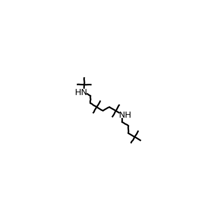 CC(C)(C)CCCNC(C)(C)CCC(C)(C)CCNC(C)(C)C